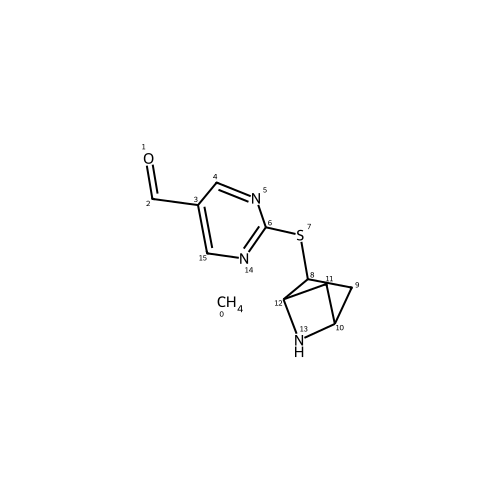 C.O=Cc1cnc(SC2CC3CC2N3)nc1